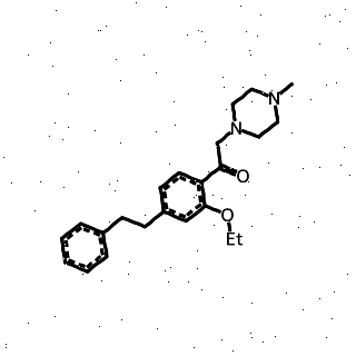 CCOc1cc(CCc2ccccc2)ccc1C(=O)CN1CCN(C)CC1